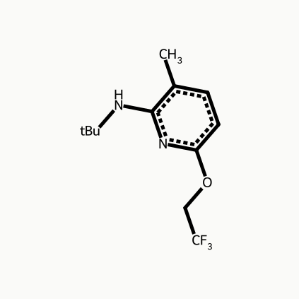 Cc1ccc(OCC(F)(F)F)nc1NC(C)(C)C